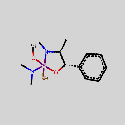 CCOP1(S)(N(C)C)O[C@@H](c2ccccc2)[C@H](C)N1C